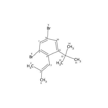 CC(C)=[C]c1c(Br)cc(Br)cc1C(C)(C)C